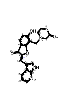 O=C1CN(Cc2c(O)ccc3c2O/C(=C\c2c[nH]c4ncccc24)C3=O)CCN1